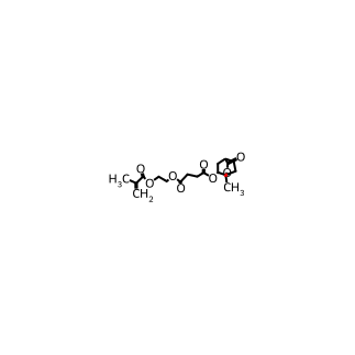 C=C(C)C(=O)OCCOC(=O)CCC(=O)OC1CC2CCC1(C)OC2=O